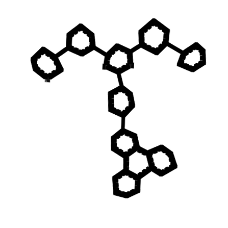 c1ccc(-c2cccc(-c3cc(-c4cccc(-c5cccnc5)c4)nc(-c4ccc(-c5ccc6c7ccccc7c7ccccc7c6c5)cc4)n3)c2)cc1